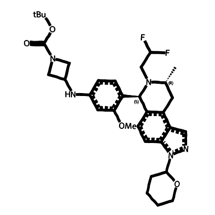 COc1cc(NC2CN(C(=O)OC(C)(C)C)C2)ccc1[C@@H]1c2ccc3c(cnn3C3CCCCO3)c2C[C@@H](C)N1CC(F)F